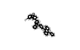 Cc1ccc2oc3ccc(-c4ccc5c(c4)c4ccccc4n5-c4ccc(-c5c6ccccc6c(-c6ccccc6)c6ccccc56)cc4)cc3c2c1